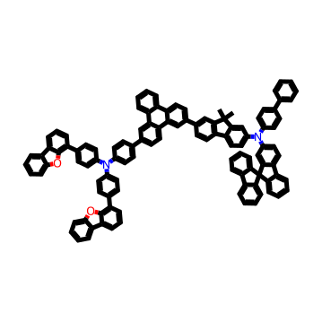 CC1(C)c2cc(-c3ccc4c5ccccc5c5cc(-c6ccc(N(c7ccc(-c8cccc9c8oc8ccccc89)cc7)c7ccc(-c8cccc9c8oc8ccccc89)cc7)cc6)ccc5c4c3)ccc2-c2ccc(N(c3ccc(-c4ccccc4)cc3)c3ccc4c(c3)C3(c5ccccc5-c5ccccc53)c3ccccc3-4)cc21